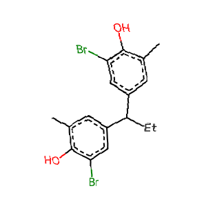 CCC(c1cc(C)c(O)c(Br)c1)c1cc(C)c(O)c(Br)c1